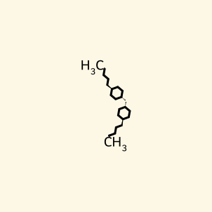 CCCCC[C@H]1CC[C@H](C[C@H]2CC[C@H](CCCCC)CC2)CC1